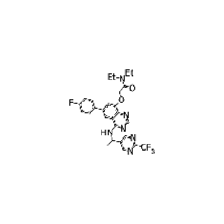 CCN(CC)C(=O)COc1cc(-c2ccc(F)cc2)cc2c(NC(C)c3cnc(C(F)(F)F)nc3)ncnc12